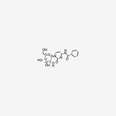 O=C(Nc1ccn([C@@H]2O[C@H](CO)[C@@H](O)[C@H](O)[C@H]2O)c(=O)n1)c1ccccc1